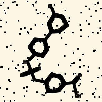 O=C(O)c1ccc(CS(=O)(=O)Nc2ccc(-c3cccc(Cl)c3)cc2)cc1